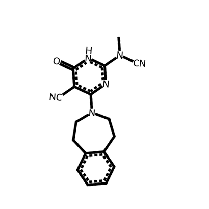 CN(C#N)c1nc(N2CCc3ccccc3CC2)c(C#N)c(=O)[nH]1